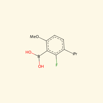 COc1ccc(C(C)C)c(F)c1B(O)O